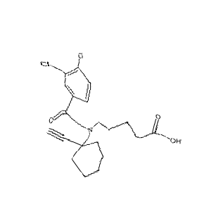 C#CC1(N(CCCCC(=O)O)C(=O)c2ccc(Cl)c(Cl)c2)CCCCC1